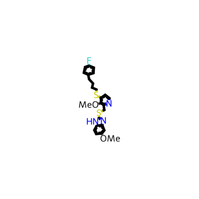 COc1ccc2[nH]c(SCc3nccc(SCCCCc4ccc(F)cc4)c3OC)nc2c1